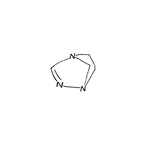 C1=NN2CCN1C2